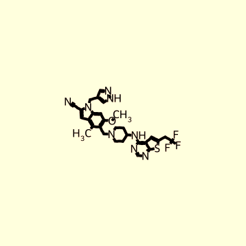 COc1cc2c(cc(C#N)n2Cc2cn[nH]c2)c(C)c1CN1CCC(Nc2ncnc3sc(CC(F)(F)F)cc23)CC1